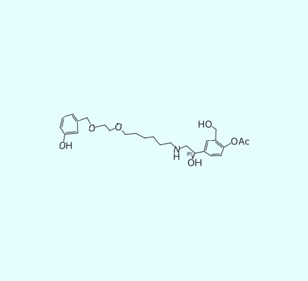 CC(=O)Oc1ccc([C@@H](O)CNCCCCCCOCCOCc2cccc(O)c2)cc1CO